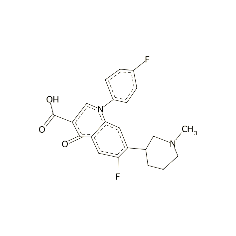 CN1CCCC(c2cc3c(cc2F)c(=O)c(C(=O)O)cn3-c2ccc(F)cc2)C1